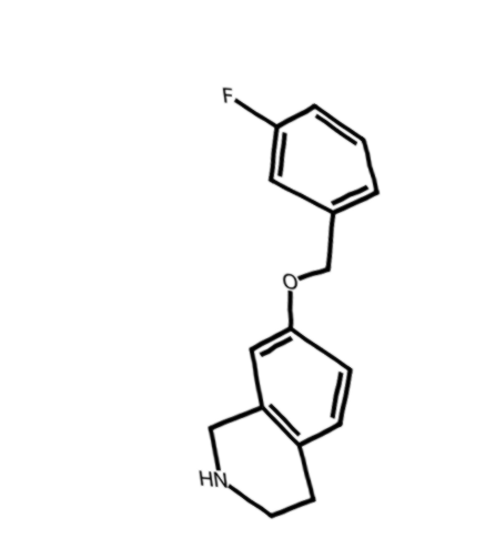 Fc1cccc(COc2ccc3c(c2)CNCC3)c1